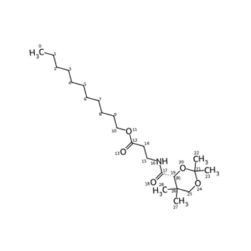 CCCCCCCCCCCOC(=O)CCNC(=O)[C@@H]1OC(C)(C)OCC1(C)C